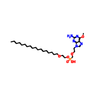 CCCCCCCCCCCCCCCCCCOCCOP(=O)(O)COCCn1cnc2c(OC)nc(N)nc21